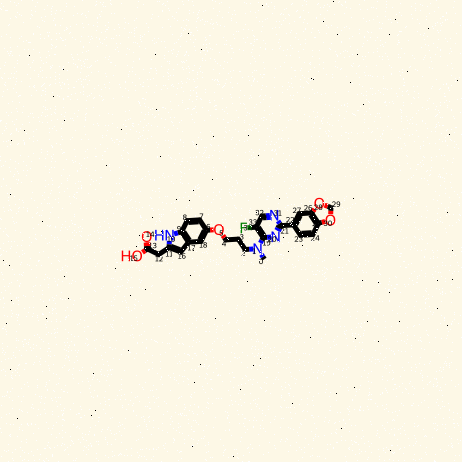 CN(CCCOc1ccc2[nH]c(CC(=O)O)cc2c1)c1nc(-c2ccc3c(c2)OCO3)ncc1F